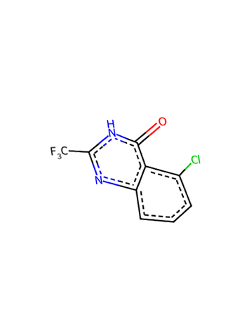 O=c1[nH]c(C(F)(F)F)nc2cccc(Cl)c12